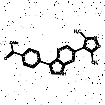 COC(=O)c1ccc(-c2c[nH]c3cc(-c4c(C)noc4C)cnc23)cc1